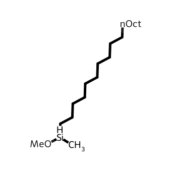 CCCCCCCCCCCCCCCCCC[SiH](C)OC